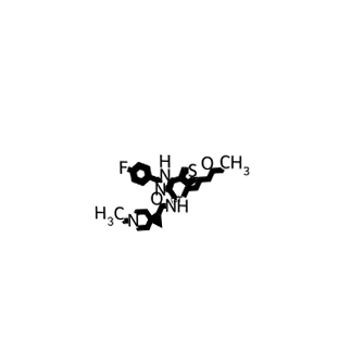 CCC(=O)CCCCC[C@H](NC(=O)C1CC12CCN(CC)CC2)c1nc(-c2ccc(F)cc2)[nH]c1-c1ccsc1